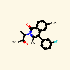 COC(=O)C(C)n1c(C#N)c(-c2cccc(F)c2)c2cc(OC)ccc2c1=O